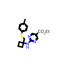 CCOC(=O)c1cnc(NC2(CSc3ccc(C)cc3)CCC2)nc1